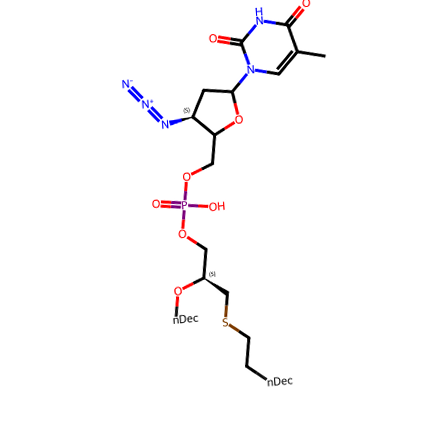 CCCCCCCCCCCCSC[C@H](COP(=O)(O)OCC1OC(n2cc(C)c(=O)[nH]c2=O)C[C@@H]1N=[N+]=[N-])OCCCCCCCCCC